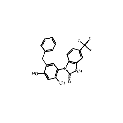 O=c1[nH]c2cc(C(F)(F)F)ccc2n1-c1cc(Cc2ccccc2)c(O)cc1O